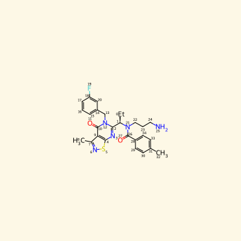 CC[C@H](c1nc2snc(C)c2c(=O)n1Cc1cccc(F)c1)N(CCCN)C(=O)c1ccc(C)cc1